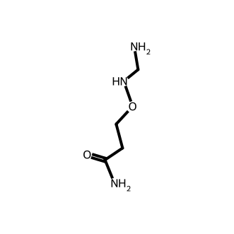 NCNOCCC(N)=O